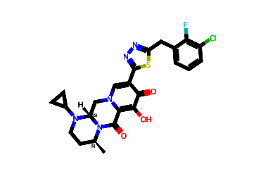 C[C@H]1CCN(C2CC2)[C@@H]2Cn3cc(-c4nnc(Cc5cccc(Cl)c5F)s4)c(=O)c(O)c3C(=O)N12